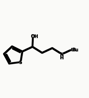 CC(C)(C)NCCC(O)c1cccs1